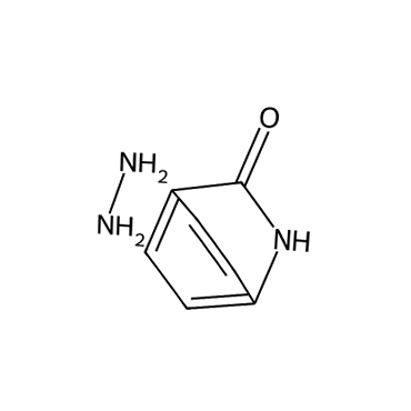 NN.O=c1[nH]c2ccc1cc2